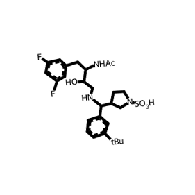 CC(=O)NC(Cc1cc(F)cc(F)c1)C(O)CNC(c1cccc(C(C)(C)C)c1)C1CCN(S(=O)(=O)O)C1